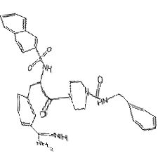 N=C(N)c1cccc(CC(NS(=O)(=O)c2ccc3ccccc3c2)C(=O)N2CCN(C(=O)NCc3ccccc3)CC2)c1